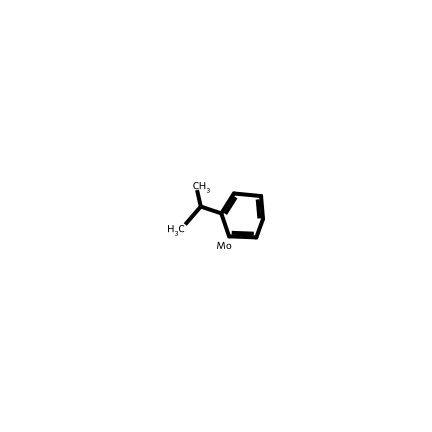 CC(C)c1ccccc1.[Mo]